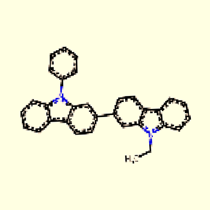 CCn1c2ccccc2c2ccc(-c3ccc4c5ccccc5n(-c5ccccc5)c4c3)cc21